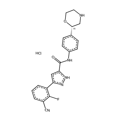 Cl.N#Cc1cccc(-c2cc(C(=O)Nc3ccc([C@H]4CNCCO4)cc3)[nH]n2)c1F